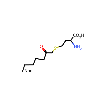 CCCCCCCCCCCCCC(=O)CSCC[C@H](N)C(=O)O